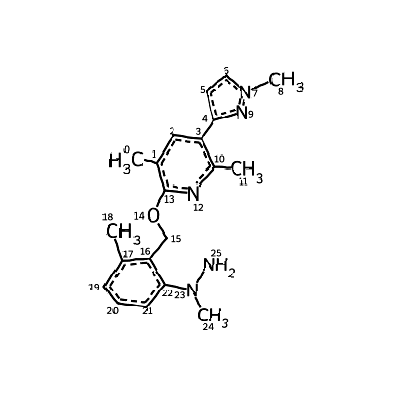 Cc1cc(-c2ccn(C)n2)c(C)nc1OCc1c(C)cccc1N(C)N